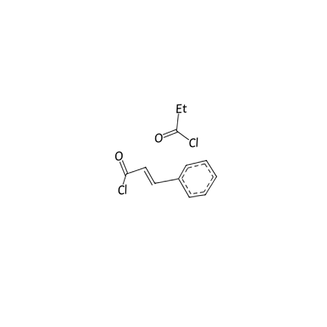 CCC(=O)Cl.O=C(Cl)/C=C/c1ccccc1